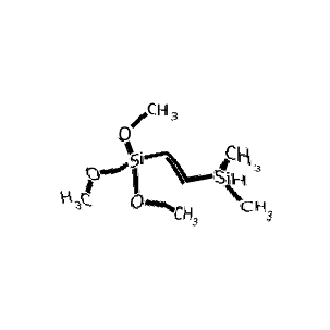 CO[Si](C=C[SiH](C)C)(OC)OC